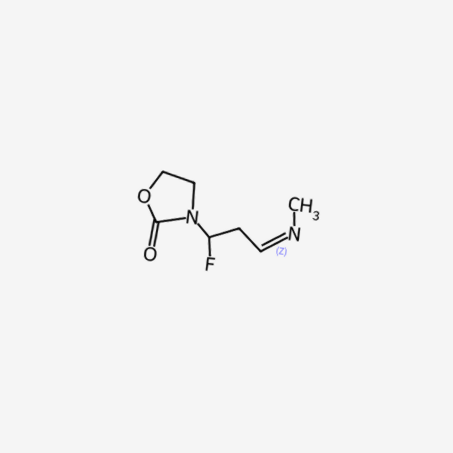 C/N=C\CC(F)N1CCOC1=O